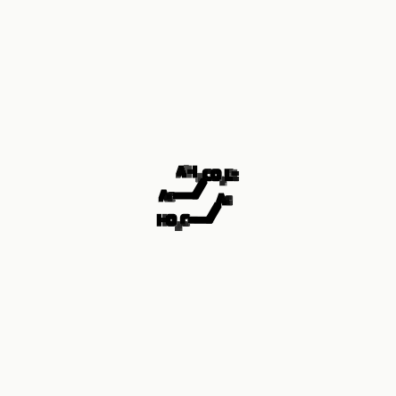 CC(=O)CC(=O)O.CCOC(=O)CC(C)=O.[AlH3]